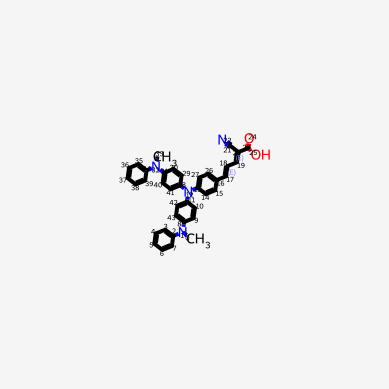 CN(c1ccccc1)c1ccc(N(c2ccc(/C=C/C=C(\C#N)C(=O)O)cc2)c2ccc(N(C)c3ccccc3)cc2)cc1